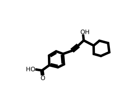 O=C(O)c1ccc(C#CC(O)C2CCCCC2)cc1